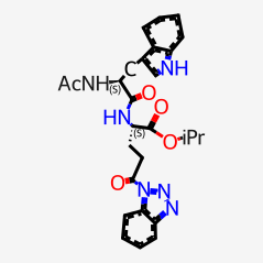 CC(=O)N[C@@H](Cc1c[nH]c2ccccc12)C(=O)N[C@@H](CCC(=O)n1nnc2ccccc21)C(=O)OC(C)C